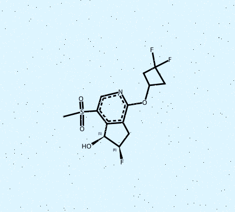 CS(=O)(=O)c1cnc(OC2CC(F)(F)C2)c2c1[C@H](O)[C@H](F)C2